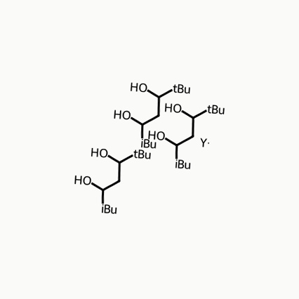 CCC(C)C(O)CC(O)C(C)(C)C.CCC(C)C(O)CC(O)C(C)(C)C.CCC(C)C(O)CC(O)C(C)(C)C.[Y]